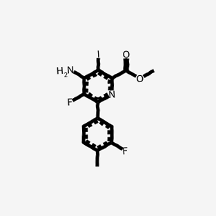 COC(=O)c1nc(-c2ccc(C)c(F)c2)c(F)c(N)c1I